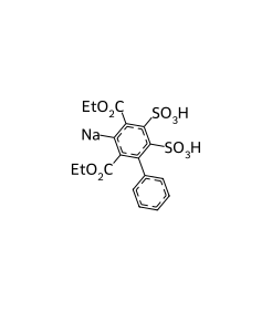 CCOC(=O)c1[c]([Na])c(C(=O)OCC)c(S(=O)(=O)O)c(S(=O)(=O)O)c1-c1ccccc1